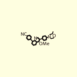 COc1c(-c2ccc(N3CCOC(C)C3)cc2)cnc2c(-c3ccc(C#N)cc3)cccc12